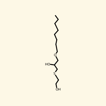 CCCCCCCCOCC(O)CSCCO